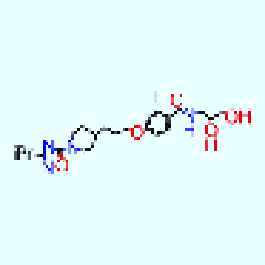 CC(C)c1noc(N2CCC(CCCOc3ccc(C(=O)NC[C@@H](O)CO)c(F)c3)CC2)n1